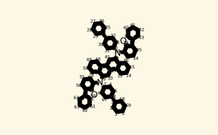 c1ccc(-c2ccc(N(c3cc4c5ccccc5c(N(c5ccc(-c6ccccc6)cc5)c5cccc6c5oc5ccccc56)cc4c4ccccc34)c3cccc4c3oc3ccccc34)cc2)cc1